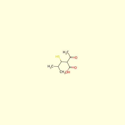 CC(=O)C(C(=O)O)C(S)C(C)C